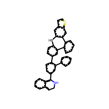 B1c2ccc(-c3ccc(C4=c5ccccc5=CCN4)cc3-c3ccccc3)cc2-c2ccccc2-c2cc3sccc3cc21